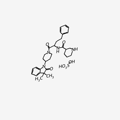 CC1(C)C(=O)N(C2CCN(C(=O)C(CCc3ccccc3)NC(=O)C3CCCNC3)CC2)c2ccccc21.O=S(=O)(O)O